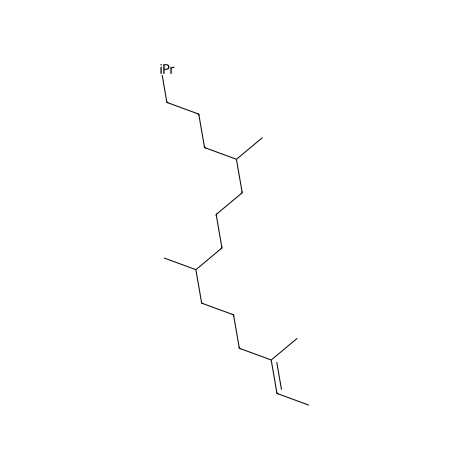 C/C=C(\C)CCCC(C)CCCC(C)CCCC(C)C